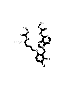 CC(C)(C)OC(=O)Nc1ncnc2c1ncn2Cc1c(OCCC[C@@H](NC(=O)OC(C)(C)C)C(=O)O)ccc(Cl)c1Cl